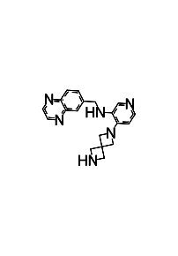 c1cc(N2CC3(CNC3)C2)c(NCc2ccc3nccnc3c2)cn1